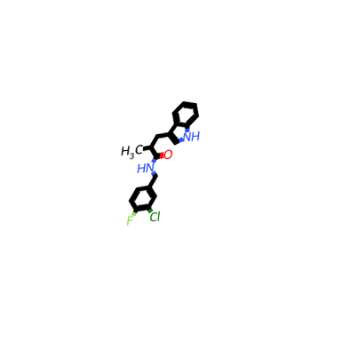 CC(Cc1c[nH]c2ccccc12)C(=O)NCc1ccc(F)c(Cl)c1